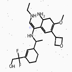 CCN/C=C(/NC(C)C1C=C(C(F)(F)CO)CCC1)C1=CC(C2COC2)=C(OC)CC1N